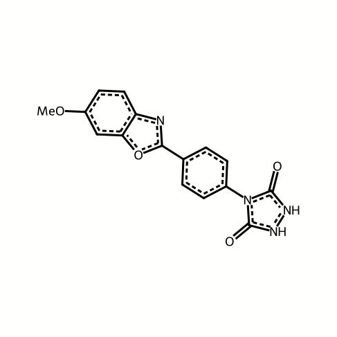 COc1ccc2nc(-c3ccc(-n4c(=O)[nH][nH]c4=O)cc3)oc2c1